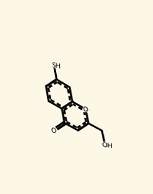 O=c1cc(CO)oc2cc(S)ccc12